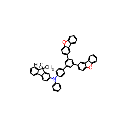 CC1(C)c2ccccc2-c2ccc(N(c3ccccc3)c3ccc(-c4cc(-c5ccc6oc7ccccc7c6c5)cc(-c5ccc6oc7ccccc7c6c5)c4)cc3)cc21